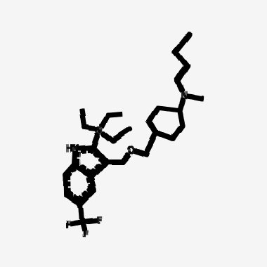 CCCCN(C)C1CCC(COCc2c([Si](CC)(CC)CC)[nH]c3ccc(C(F)(F)F)cc23)CC1